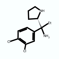 CCC(N)(c1ccc(Cl)c(Cl)c1)[C@@H]1CCCN1